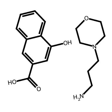 NCCCN1CCOCC1.O=C(O)c1cc(O)c2ccccc2c1